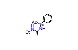 C=C(NCC)N[C@@H](C(C)=O)c1ccccc1